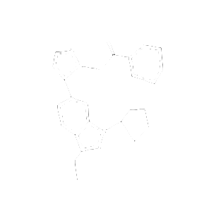 CCc1nn(C2CCCC2)c2cc(-c3ccnn3OC(=O)c3ccccc3)ccc12